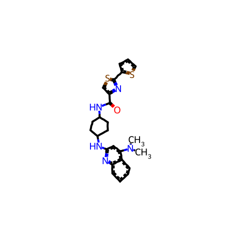 CN(C)c1cc(NC2CCC(NC(=O)c3csc(-c4cccs4)n3)CC2)nc2ccccc12